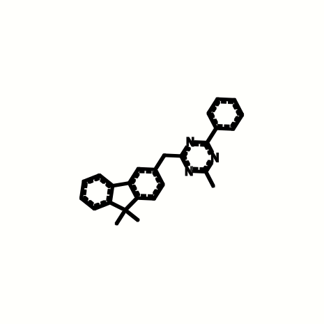 Cc1nc(Cc2ccc3c(c2)-c2ccccc2C3(C)C)nc(-c2ccccc2)n1